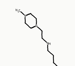 CN1CCN(CCNCCCO)CC1